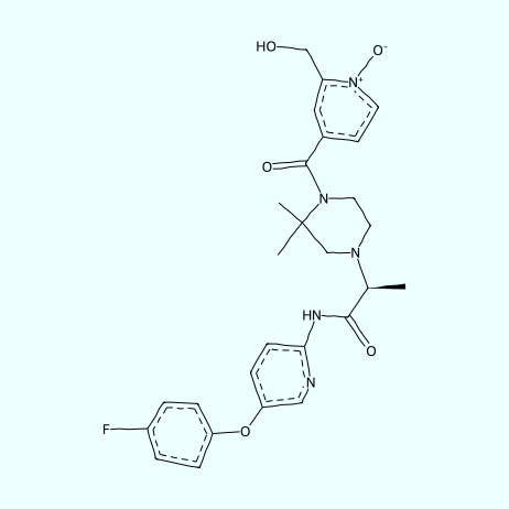 C[C@@H](C(=O)Nc1ccc(Oc2ccc(F)cc2)cn1)N1CCN(C(=O)c2cc[n+]([O-])c(CO)c2)C(C)(C)C1